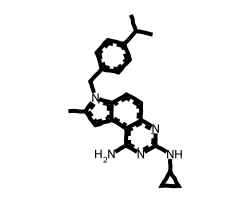 Cc1cc2c3c(N)nc(NC4CC4)nc3ccc2n1Cc1ccc(C(C)C)cc1